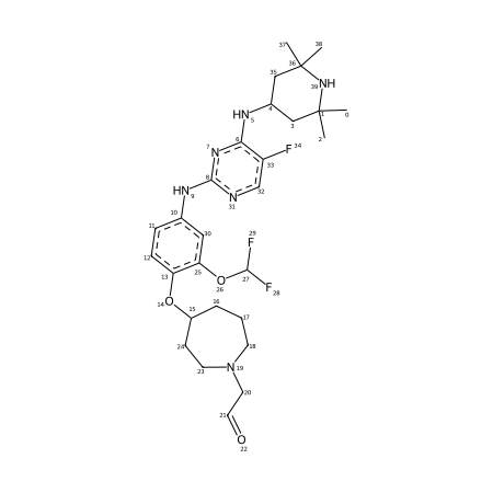 CC1(C)CC(Nc2nc(Nc3ccc(OC4CCCN(CC=O)CC4)c(OC(F)F)c3)ncc2F)CC(C)(C)N1